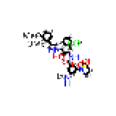 CCNc1cc(C(=O)N[C@@H](Cc2ccccc2)[C@@H](O)CNCCc2cccc(OC)c2OC)cc(N2CCCCS2(O)O)c1.Cl